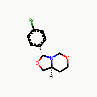 Brc1ccc([C@H]2OC[C@@H]3CCOCN32)cc1